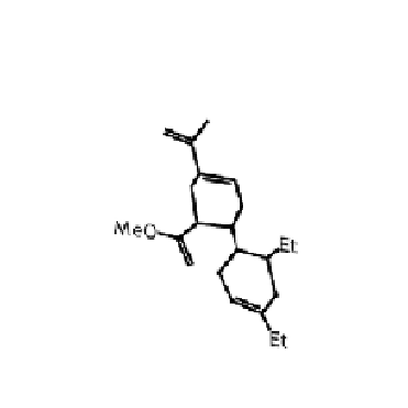 C=C(C)C1=CCC([C@@H]2CC=C(CC)CC2CC)C(C(=C)OC)C1